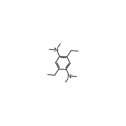 CCc1cc(N(C)C)c(CC)cc1N(C)C